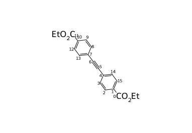 CCOC(=O)c1ccc(C#Cc2ccc(C(=O)OCC)cc2)cc1